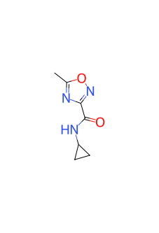 Cc1nc(C(=O)NC2CC2)no1